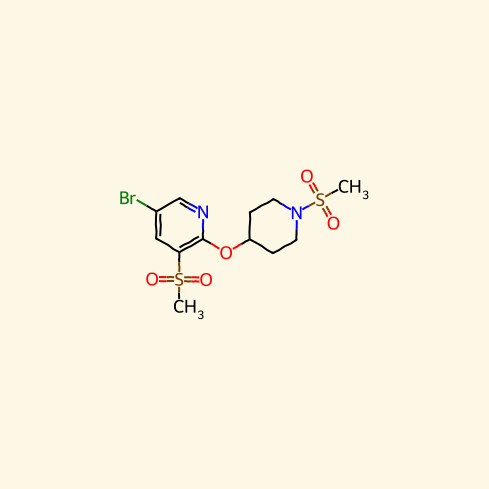 CS(=O)(=O)c1cc(Br)cnc1OC1CCN(S(C)(=O)=O)CC1